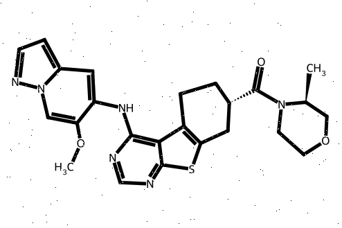 COc1cn2nccc2cc1Nc1ncnc2sc3c(c12)CC[C@H](C(=O)N1CCOC[C@@H]1C)C3